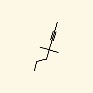 [CH2]CCC(C)(C)C#CC